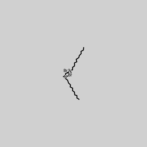 CCCCCCCCCCCC[N+](C)(C)CC(Br)(Br)[N+](C)(C)CCCCCCCCCCCC